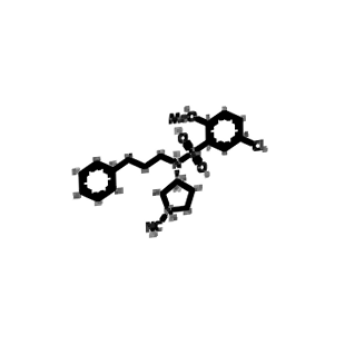 COc1ccc(Cl)cc1S(=O)(=O)N(CCCc1ccccc1)[C@@H]1CCN(C#N)C1